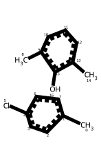 Cc1ccc(Cl)cc1.Cc1cccc(C)c1O